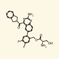 Nc1nc(C(=O)N2Cc3ccccc3C2)c2cc(-c3cc(F)c(F)cc3COC(=O)[C@H](N)CO)ccc2n1